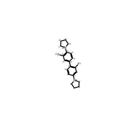 Fc1cc(N2CCCC2)ccc1-c1ccc(N2CCCC2)c(F)c1